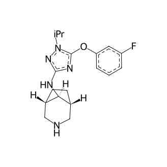 CC(C)n1nc(N[C@H]2[C@@H]3CC[C@H]2CNC3)nc1Oc1cccc(F)c1